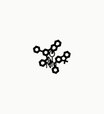 CC1(C)c2ccccc2-c2ccc(N(c3ccccc3)c3nc(-c4cc(-c5ccccc5)cc5c4oc4cc6ccccc6cc45)c4ccccc4n3)cc21